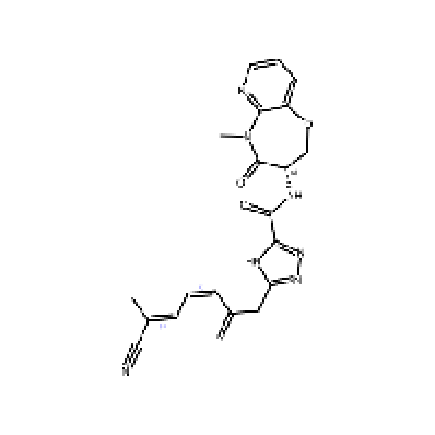 C=C(/C=C\C=C(/C)C#N)Cc1nnc(C(=O)N[C@H]2COc3cccnc3N(C)C2=O)[nH]1